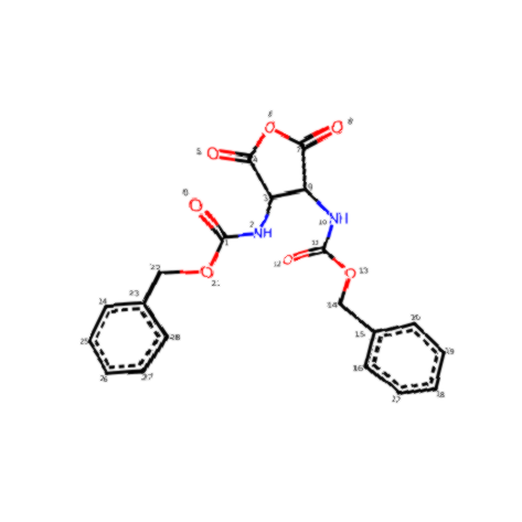 O=C(NC1C(=O)OC(=O)C1NC(=O)OCc1ccccc1)OCc1ccccc1